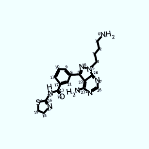 NCCCCn1nc(-c2cccc(C(=O)NC3=NCCS3)c2)c2c(N)ncnc21